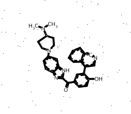 CN(C)C1CCN(c2ccc3nc(C(=O)c4ccc(O)c(-c5cncc6ccccc56)c4)[nH]c3c2)CC1